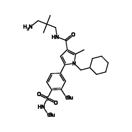 Cc1c(C(=O)NCC(C)(C)CN)cc(-c2ccc(S(=O)(=O)NC(C)(C)C)c(C(C)(C)C)c2)n1CC1CCCCC1